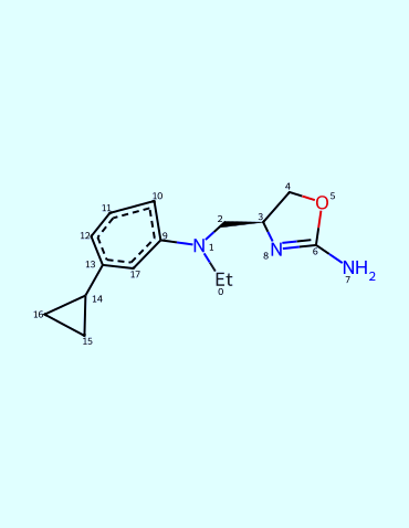 CCN(C[C@H]1COC(N)=N1)c1cccc(C2CC2)c1